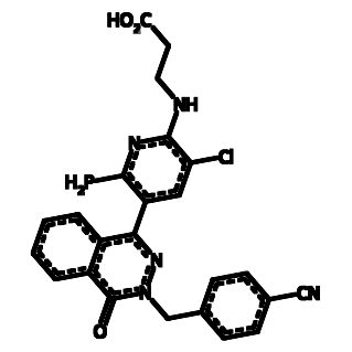 N#Cc1ccc(Cn2nc(-c3cc(Cl)c(NCCC(=O)O)nc3P)c3ccccc3c2=O)cc1